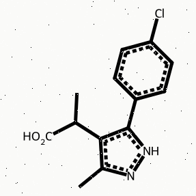 Cc1n[nH]c(-c2ccc(Cl)cc2)c1C(C)C(=O)O